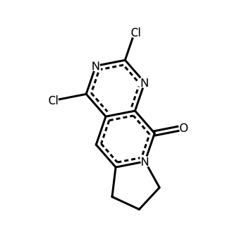 O=c1c2nc(Cl)nc(Cl)c2cc2n1CCC2